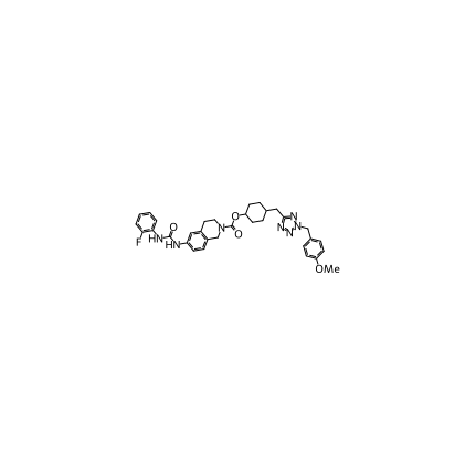 COc1ccc(Cn2nnc(CC3CCC(OC(=O)N4CCc5cc(NC(=O)Nc6ccccc6F)ccc5C4)CC3)n2)cc1